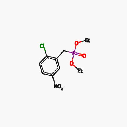 CCOP(=O)(Cc1cc([N+](=O)[O-])ccc1Cl)OCC